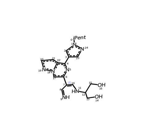 CCCC(C)n1cc(-c2nc(/C(C=N)=C/NC(CO)CO)cn3nccc23)cn1